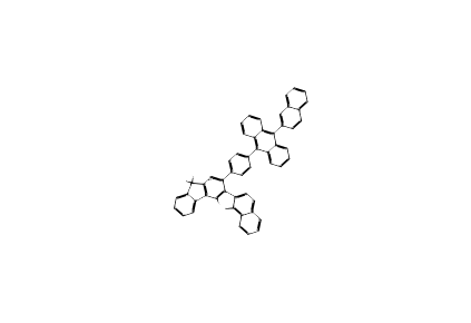 CC1(C)c2ccccc2-c2c1cc(-c1ccc(-c3c4ccccc4c(-c4ccc5ccccc5c4)c4ccccc34)cc1)c1c2oc2c3ccccc3ccc21